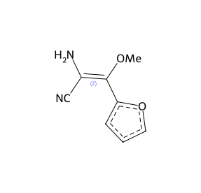 CO/C(=C(\N)C#N)c1ccco1